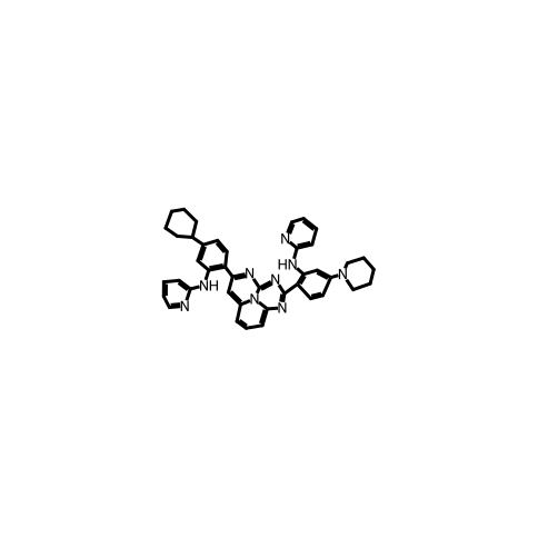 C1=CC2=CC(c3ccc(C4CCCCC4)cc3Nc3ccccn3)=NC3=NC(c4ccc(N5CCCCC5)cc4Nc4ccccn4)=NC(=C1)N23